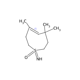 C/C1=C\C(C)(C)CCS(=N)(=O)CC1